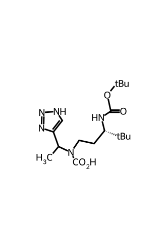 CC(c1c[nH]nn1)N(CC[C@H](NC(=O)OC(C)(C)C)C(C)(C)C)C(=O)O